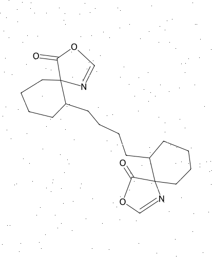 O=C1OC=NC12CCCCC2CCCCC1CCCCC12N=COC2=O